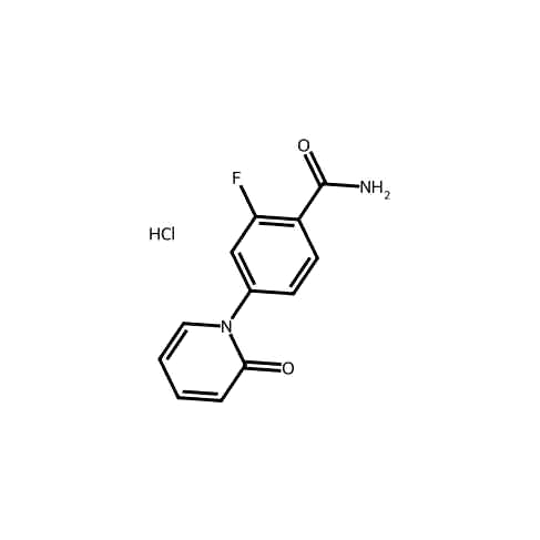 Cl.NC(=O)c1ccc(-n2ccccc2=O)cc1F